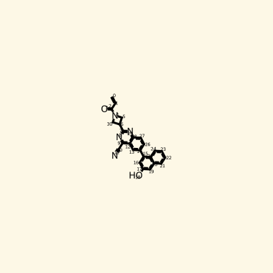 C=CC(=O)N1CC(c2nc(C#N)c3cc(-c4cc(O)cc5ccccc45)ccc3n2)C1